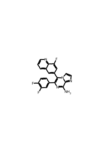 Nc1nc(-c2ccc(F)c(F)c2)c(-c2cc(F)c3ncccc3c2)n2ccnc12